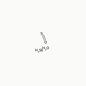 O.[O]=[Ti].[SbH3]